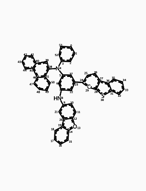 c1ccc(N(c2cc(Nc3ccc4oc5ccccc5c4c3)cc(-c3ccc4c(c3)sc3ccccc34)c2)c2cc3ccccc3c3ccccc23)cc1